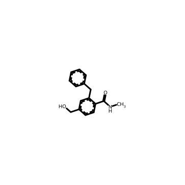 CNC(=O)c1ccc(CO)cc1Cc1ccccc1